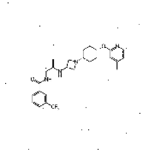 C=C(CNC(=O)c1cccc(C(F)(F)F)c1)NC1CN([C@H]2CC[C@@H](Oc3cc(C)ccn3)CC2)C1